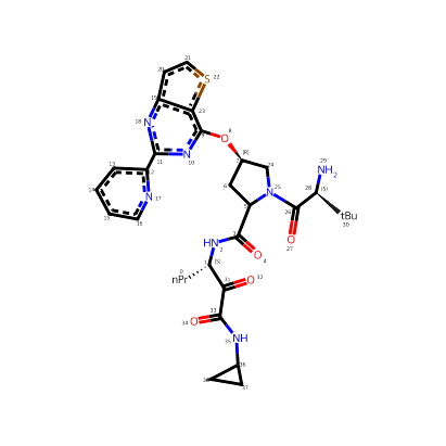 CCC[C@H](NC(=O)C1C[C@@H](Oc2nc(-c3ccccn3)nc3ccsc23)CN1C(=O)[C@@H](N)C(C)(C)C)C(=O)C(=O)NC1CC1